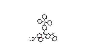 CC1(C)c2ccccc2-c2cc(-c3ccccc3)c(N(c3ccc(C4CC5CCC4C5)cc3)c3ccc([Si](c4ccccc4)(c4ccccc4)c4ccccc4)cc3)cc21